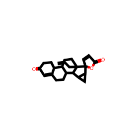 C=CCC12CCC3C4CCC(=O)C=C4CCC3C1C1CC1C21C=CC(=O)O1